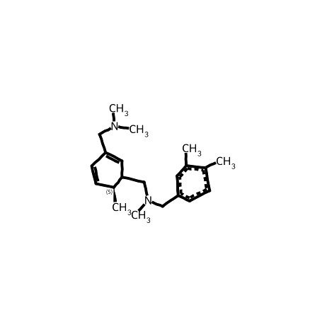 Cc1ccc(CN(C)CC2C=C(CN(C)C)C=C[C@@H]2C)cc1C